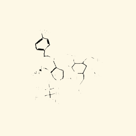 CCCCOCC1O[C@@H](O[C@H]2C(OCc3ccc(OC)cc3)[C@H](N=[N+]=[N-])[C@@H](O[Si](C)(C)C(C)(C)C(C)C)O[C@H]2C)C(OCCCC)C(OCCCC)[C@@H]1OCCCC